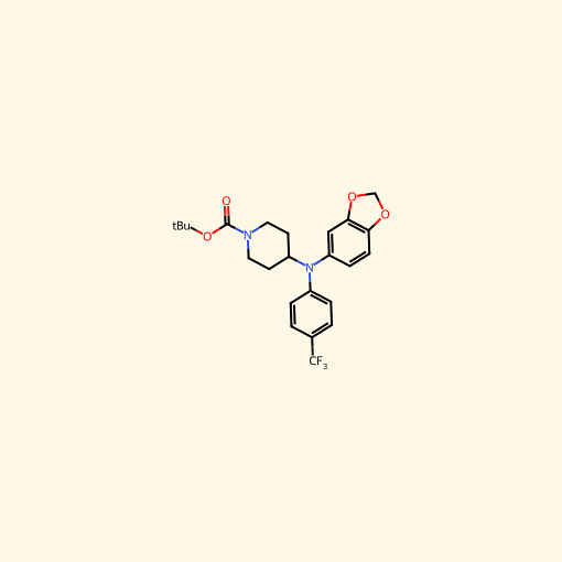 CC(C)(C)OC(=O)N1CCC(N(c2ccc(C(F)(F)F)cc2)c2ccc3c(c2)OCO3)CC1